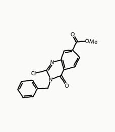 COC(=O)c1ccc2c(=O)n(Cc3ccccc3)c(Cl)nc2c1